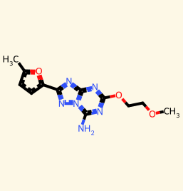 COCCOc1nc(N)n2nc(-c3ccc(C)o3)nc2n1